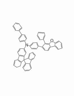 C1=CC2=C(CC1)C1(c3cc(N(c4ccc(-c5ccccc5)cc4)c4ccc(-c5ccc6c(oc7ccccc76)c5-c5ccccc5)cc4)ccc32)c2ccccc2-c2ccccc21